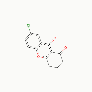 O=C1CCCc2oc3ccc(Cl)cc3c(=O)c21